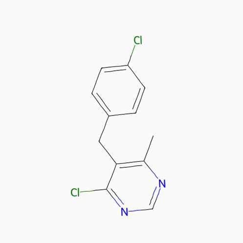 Cc1ncnc(Cl)c1Cc1ccc(Cl)cc1